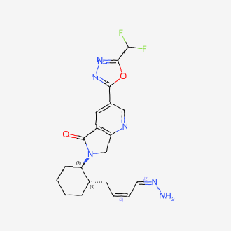 N/N=C\C=C/C[C@@H]1CCCC[C@H]1N1Cc2ncc(-c3nnc(C(F)F)o3)cc2C1=O